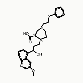 COc1cnc2cccc(C(O)CC[C@@H]3CCN(CCSc4ccccc4)C[C@@H]3C(=O)O)c2c1